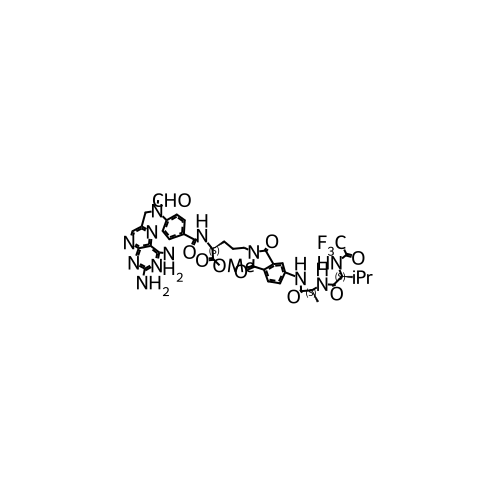 COC(=O)[C@H](CCCN1C(=O)c2ccc(NC(=O)[C@H](C)NC(=O)[C@@H](NC(=O)C(F)(F)F)C(C)C)cc2C1=O)NC(=O)c1ccc(N(C=O)Cc2cnc3nc(N)nc(N)c3n2)cc1